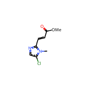 COC(=O)/C=C/c1ncc(Cl)n1C